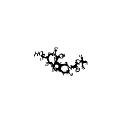 C[C@@H]1Cc2nn3c(c2CN1C(=O)OC(C)(C)C)C(=O)N(C)C[C@H](CO)C3